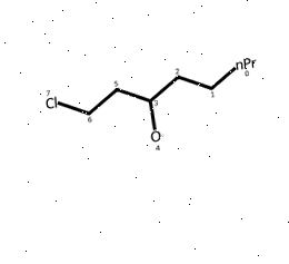 CCCCCC([O])CCCl